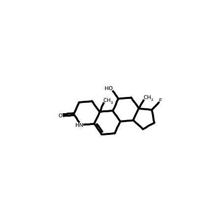 CC12CCC(=O)NC1=CCC1C2C(O)CC2(C)C(F)CCC12